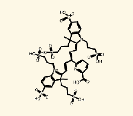 CC1(CCCS(=O)(=O)O)C(/C=C/C(=C/C=C2/N(CCCS(=O)(=O)O)c3ccc(S(=O)(=O)O)cc3C2(C)CCCS(=O)(=O)O)c2cccc(C(=O)O)n2)=[N+](CCCS(=O)(=O)O)c2ccc(S(=O)(=O)O)cc21